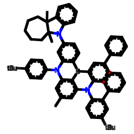 Cc1cc2c3c(c1)N(c1ccc(C(C)(C)C)cc1-c1ccccc1)c1ccc(-c4ccccc4)cc1B3c1ccc(N3c4ccccc4C4(C)CCCCCC34C)cc1N2c1ccc(C(C)(C)C)cc1